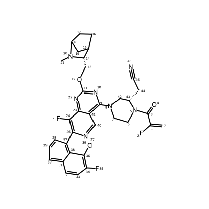 C=C(F)C(=O)N1CCN(c2nc(OC[C@H]3C4CCC(C4)N3C)nc3c(F)c(-c4cccc5ccc(F)c(Cl)c45)ncc23)C[C@@H]1CC#N